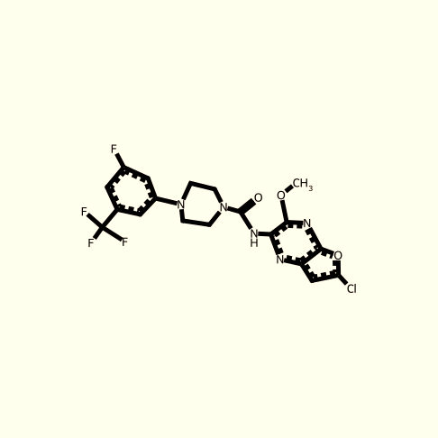 COc1nc2oc(Cl)cc2nc1NC(=O)N1CCN(c2cc(F)cc(C(F)(F)F)c2)CC1